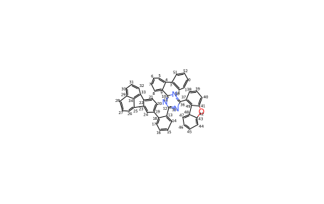 c1ccc(-c2ccccc2-c2nc(-c3ccccc3-c3ccc4c(c3)-c3cccc5cccc-4c35)nc(-c3cccc4oc5ccccc5c34)n2)cc1